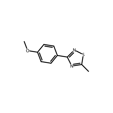 COc1ccc(-c2nsc(C)n2)cc1